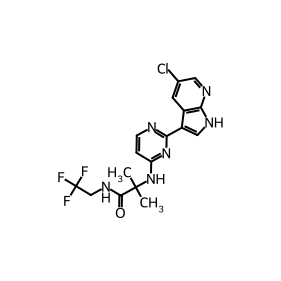 CC(C)(Nc1ccnc(-c2c[nH]c3ncc(Cl)cc23)n1)C(=O)NCC(F)(F)F